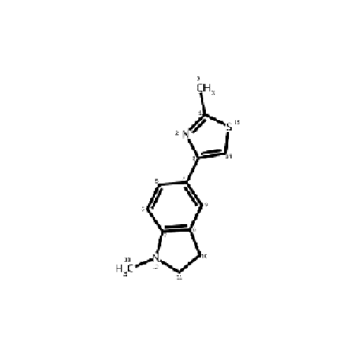 Cc1nc(-c2ccc3c(c2)CCN3C)cs1